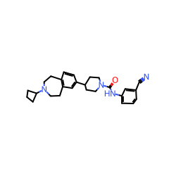 N#Cc1cccc(NC(=O)N2CCC(c3ccc4c(c3)CCN(C3CCC3)CC4)CC2)c1